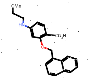 COCCNc1ccc(C(=O)O)c(OCc2cccc3ccccc23)c1